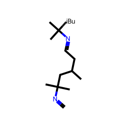 C=NC(C)(C)CC(C)C/C=N/C(C)(C)C(C)CC